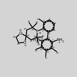 Cc1cccc(-c2c(N)c(C)c(C)c(C)c2N)c1P1C(C)(C)CC2(CC1(C)C)OCCO2